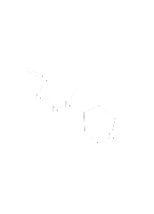 C=N/N=N\N(C)C1CCN(C)CC1